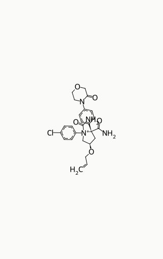 C=CCO[C@@H]1C[C@](C(N)=O)(c2ccc(N3CCOCC3=O)cc2)[N+](C(N)=O)(c2ccc(Cl)cc2)C1